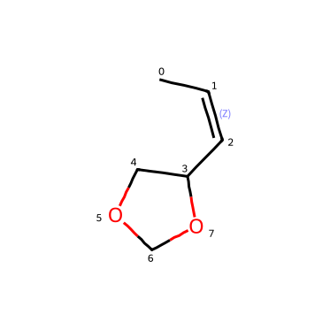 C/C=C\C1COCO1